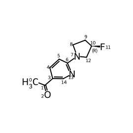 CC(=O)c1ccc(N2CC[C@@H](F)C2)nc1